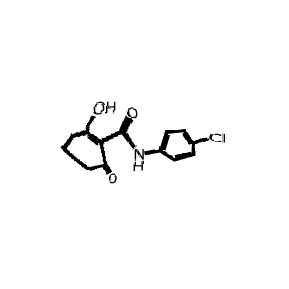 O=C1CCCC(O)=C1C(=O)Nc1ccc(Cl)cc1